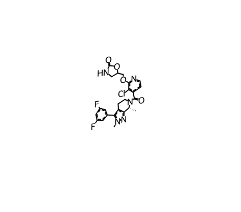 C[C@@H]1c2nn(C)c(-c3cc(F)cc(F)c3)c2CCN1C(=O)c1ccnc(OCC2CNC(=O)O2)c1Cl